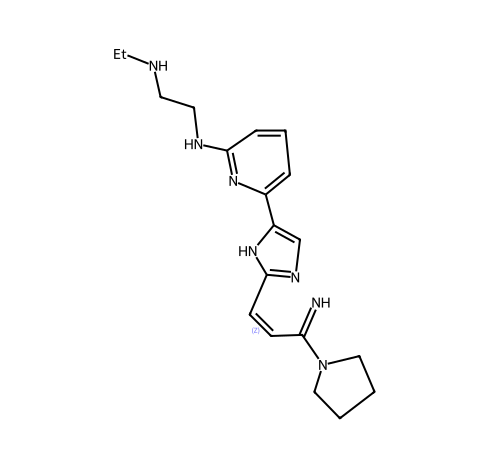 CCNCCNc1cccc(-c2cnc(/C=C\C(=N)N3CCCC3)[nH]2)n1